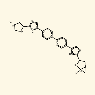 C[C@H]1CNC(c2ncc(-c3ccc(-c4ccc(-c5cnc(C6CC7C[C@@H]7N6)[nH]5)cc4)cc3)[nH]2)C1